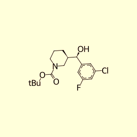 CC(C)(C)OC(=O)N1CCC[C@@H]([C@@H](O)c2cc(F)cc(Cl)c2)C1